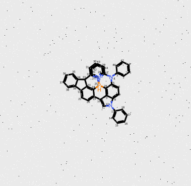 c1ccc(N2c3ccc4c5c(cn4-c4ccccc4)-c4ccc6c7c4[PH](c35)([n+]3ccccc3C7c3ccccc3-6)[n+]3ccccc32)cc1